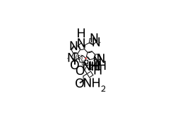 [2H]C([2H])([2H])n1ncc2cc(-c3c(-c4cnn(C)c4)[nH]c4ncc5c(c34)[C@@]3(CC[C@H](NC(=O)C4(CC(N)=O)CCC4)C3)C(=O)N5C)ccc21